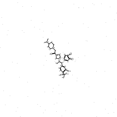 CN(C)C1CCN(CC(=O)N2C[C@H](c3ccc(Cl)c(Cl)c3)[C@H](N(C)Cc3ccc(C(F)(F)F)c(F)c3)C2)CC1